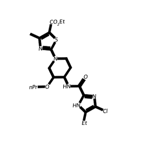 CCCOC1CN(c2nc(C)c(C(=O)OCC)s2)CCC1NC(=O)c1nc(Cl)c(CC)[nH]1